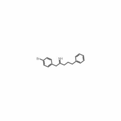 N=C(CCCc1ccccc1)Cc1ccc(Br)cc1